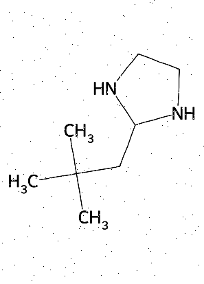 CC(C)(C)CC1NCCN1